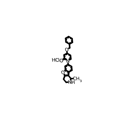 CC1NCCc2oc3cc(-n4ccc(OCc5ccccc5)cc4=O)ccc3c21.Cl